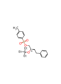 CC[Si](CC)(CC)O[C@H](CCc1ccccc1)COS(=O)(=O)c1ccc(C)cc1